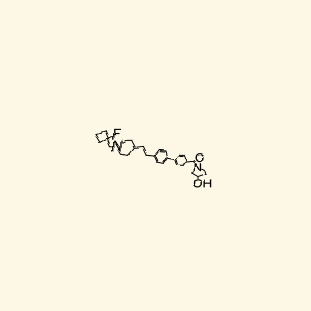 O=C(c1ccc(-c2ccc(CCC3CCN(CC4(F)CCC4)CC3)cc2)cc1)N1CCC(O)C1